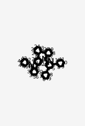 c1ccc(-c2cc(-c3ccccc3)nc(N3c4ccccc4-c4ccccc4-c4cc5c(cc43)c3ccccc3n5-c3ccccc3)c2)cc1